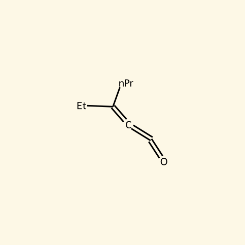 CCCC(=C=C=O)CC